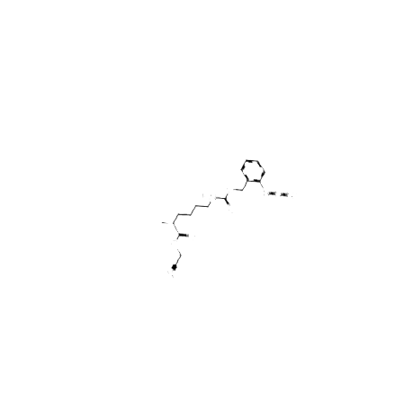 C[C@@H](CCCCNC(=O)OCc1ccccc1N=[N+]=[N-])C(=O)OCC#N